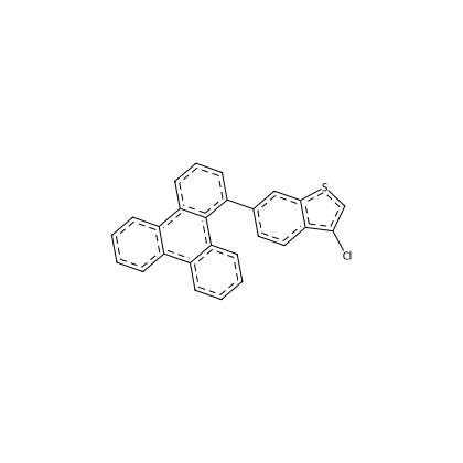 Clc1csc2cc(-c3cccc4c5ccccc5c5ccccc5c34)ccc12